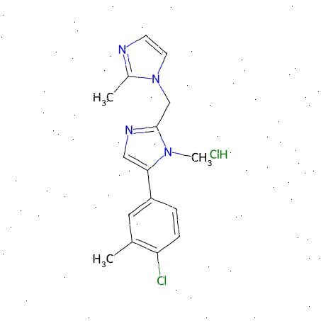 Cc1cc(-c2cnc(Cn3ccnc3C)n2C)ccc1Cl.Cl